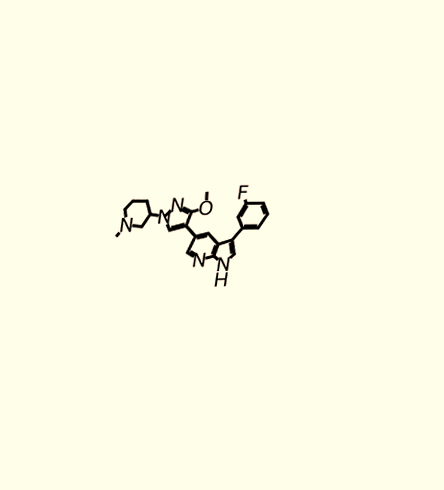 COc1nn(C2CCCN(C)C2)cc1-c1cnc2[nH]cc(-c3cccc(F)c3)c2c1